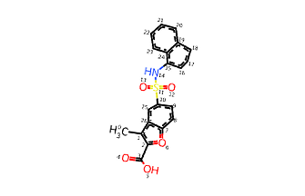 Cc1c(C(=O)O)oc2ccc(S(=O)(=O)Nc3cccc4ccccc34)cc12